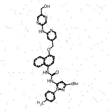 Cc1ccc(-n2nc(C(C)(C)C)cc2NC(=O)Nc2ccc(OCc3ccnc(Nc4cnc(CO)cn4)c3)c3ccccc23)cc1